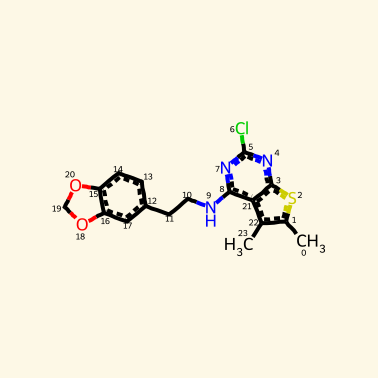 Cc1sc2nc(Cl)nc(NCCc3ccc4c(c3)OCO4)c2c1C